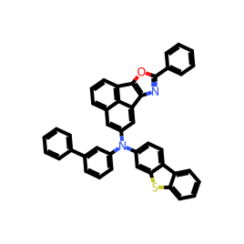 c1ccc(-c2cccc(N(c3cc4c5c(cccc5c3)-c3oc(-c5ccccc5)nc3-4)c3ccc4c(c3)sc3ccccc34)c2)cc1